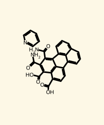 NC(=O)c1c(C(=O)O)c2c(C(=O)O)ccc3c4cccc5cccc(c(c1C(N)=O)c23)c54.c1ccncc1